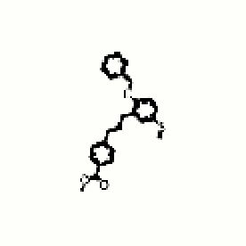 COC(=O)c1ccc(CCCc2cc(SC)ccc2OCc2ccccc2)cc1